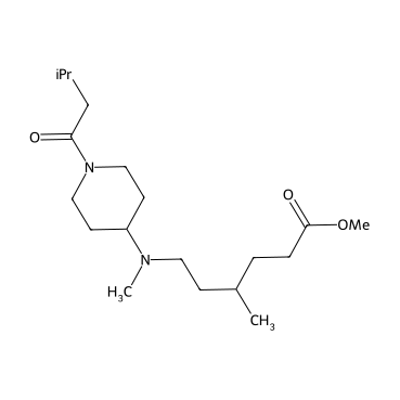 COC(=O)CCC(C)CCN(C)C1CCN(C(=O)CC(C)C)CC1